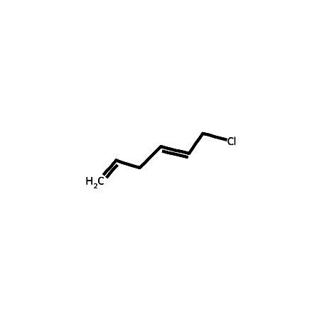 C=CCC=CCCl